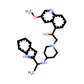 COc1cnc2cccc(C(O)CN3CCC(NC(C)c4cc5ccccc5[nH]4)CC3)c2c1